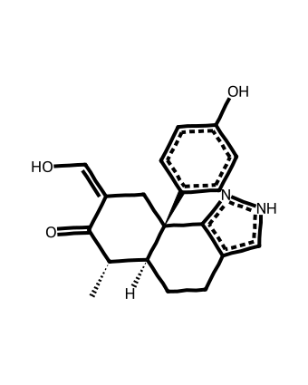 C[C@@H]1C(=O)/C(=C\O)C[C@]2(c3ccc(O)cc3)c3n[nH]cc3CC[C@@H]12